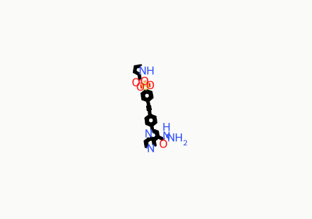 NNC(=O)c1cc(-c2ccc(C#Cc3ccc(S(=O)(=O)OC(=O)C4CCCN4)cc3)cc2)nc2ccncc12